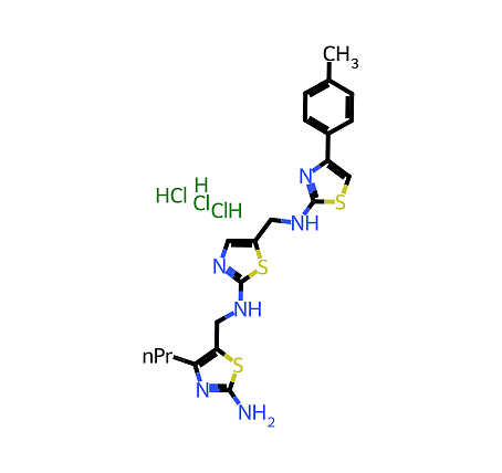 CCCc1nc(N)sc1CNc1ncc(CNc2nc(-c3ccc(C)cc3)cs2)s1.Cl.Cl.Cl